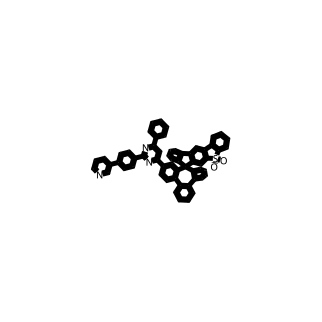 O=S1(=O)c2ccccc2-c2cc3c(cc21)C1(c2ccccc2-c2ccccc2-c2ccc(-c4cc(-c5ccccc5)nc(-c5ccc(-c6cccnc6)cc5)n4)cc21)c1ccccc1-3